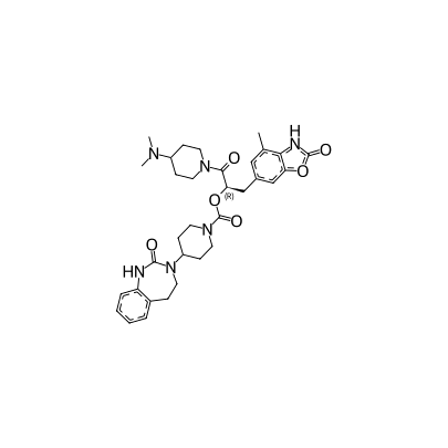 Cc1cc(C[C@@H](OC(=O)N2CCC(N3CCc4ccccc4NC3=O)CC2)C(=O)N2CCC(N(C)C)CC2)cc2oc(=O)[nH]c12